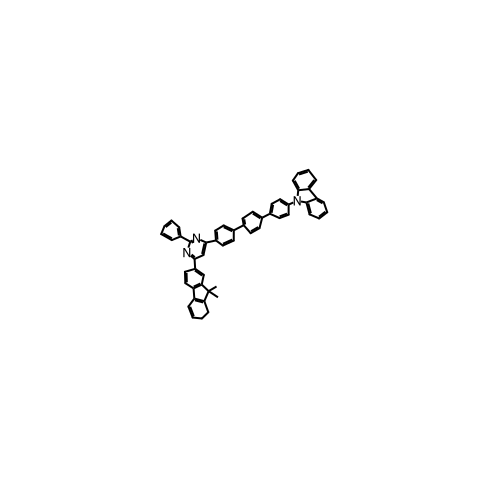 CC1(C)C2=C(C=CCC2)c2ccc(-c3cc(-c4ccc(-c5ccc(-c6ccc(-n7c8ccccc8c8ccccc87)cc6)cc5)cc4)nc(-c4ccccc4)n3)cc21